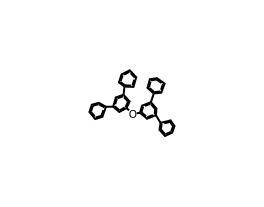 c1ccc(-c2cc(Oc3cc(-c4ccccc4)cc(-c4ccccc4)c3)cc(-c3ccccc3)c2)cc1